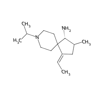 C/C=C1\CC(C)[C@@H](N)C12CCN(C(C)C)CC2